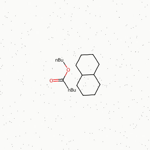 C1CCC2CCCCC2C1.CCCCOC(=O)CCCC